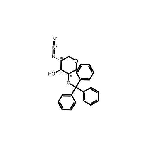 [N-]=[N+]=N[C@@H]1COC[C@@H](OC(c2ccccc2)(c2ccccc2)c2ccccc2)[C@H]1O